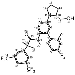 Cc1cc(F)ccc1-c1cc(N2CCC[C@@H]2CO)ncc1N(C)C(=O)C(C)(C)c1cc(C(F)(F)F)cc(C(F)(F)F)c1